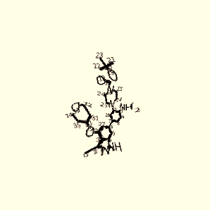 Cc1n[nH]c2cc(-c3ccc(N)c(N4CCN(C(=O)OC(C)(C)C)CC4)c3)cc(OC3CCOCC3)c12